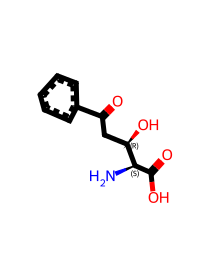 N[C@H](C(=O)O)[C@H](O)CC(=O)c1ccccc1